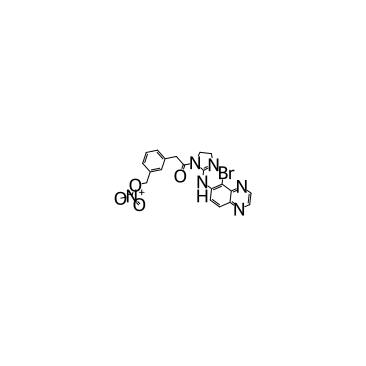 O=C(Cc1cccc(CO[N+](=O)[O-])c1)N1CCN=C1Nc1ccc2nccnc2c1Br